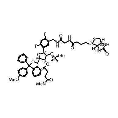 CNC(=O)CCC(=O)O[C@@H]1C(O[Si](C)(C)C(C)(C)C)[C@H](c2cc(CNC(=O)CNC(=O)CCCC[C@@H]3SC[C@@H]4NC(=O)N[C@@H]43)c(F)cc2F)O[C@@H]1COC(c1ccccc1)(c1ccccc1)c1ccc(OC)cc1